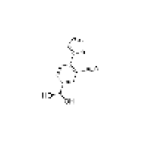 N#Cc1cc(B(O)O)ccc1-c1cccs1